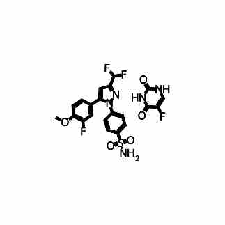 COc1ccc(-c2cc(C(F)F)nn2-c2ccc(S(N)(=O)=O)cc2)cc1F.O=c1[nH]cc(F)c(=O)[nH]1